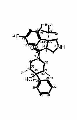 C[C@@H]1CN(C(=O)[C@@H]2CNC[C@@]2(c2ccc(F)cc2F)C(C)(C)C)C[C@H](C)[C@]1(O)c1ccccc1